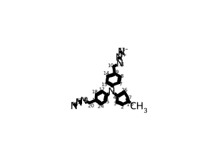 Cc1ccc(N(c2ccc(CN=[N+]=[N-])cc2)c2ccc(CN=[N+]=[N-])cc2)cc1